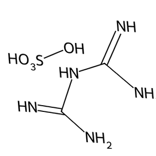 N=C(N)NC(=N)N.O=S(=O)(O)O